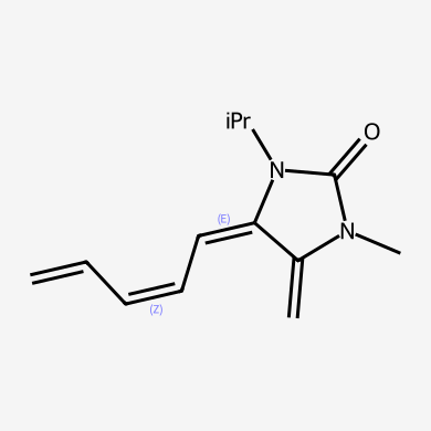 C=C/C=C\C=c1/c(=C)n(C)c(=O)n1C(C)C